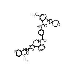 Cc1cnc(N2CC3(CCOCC3)C2)c(C(=O)Nc2ccc(C(=O)N3CCc4cc(C(=O)Nc5cnccc5C)sc4-c4ncccc43)cc2)c1